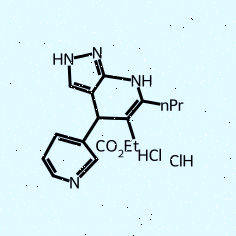 CCCC1=C(C(=O)OCC)C(c2cccnc2)c2c[nH]nc2N1.Cl.Cl